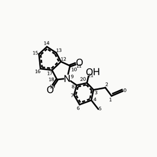 C=CCc1c(C)ccc(N2C(=O)c3ccccc3C2=O)c1O